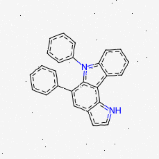 c1ccc(-c2cc3cc[nH]c3c3c4ccccc4n(-c4ccccc4)c23)cc1